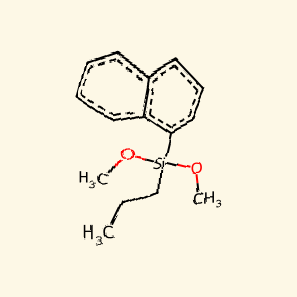 CCC[Si](OC)(OC)c1cccc2ccccc12